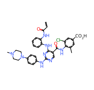 C=CC(=O)Nc1ccccc1Nc1nc(Nc2ccc(N3CCN(C)CC3)cc2)ncc1C(=O)Nc1c(C)cc(C(=O)O)cc1Cl